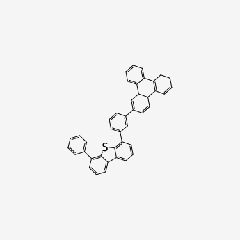 C1=CC2=C(CC1)c1ccccc1C1C=C(c3cccc(-c4cccc5c4sc4c(-c6ccccc6)cccc45)c3)C=CC21